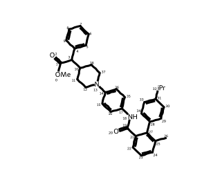 COC(=O)C(c1ccccc1)C1CCN(c2ccc(NC(=O)c3cccc(C)c3-c3ccc(C(C)C)cc3)cc2)CC1